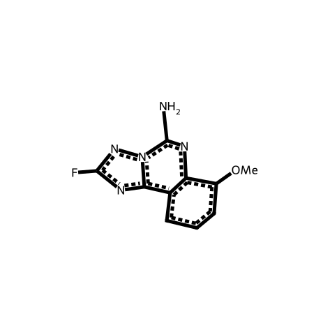 COc1cccc2c1nc(N)n1nc(F)nc21